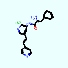 Cl.N[C@@H](Cc1ccccc1)C(=O)Nc1cncc(C=Cc2ccncc2)c1